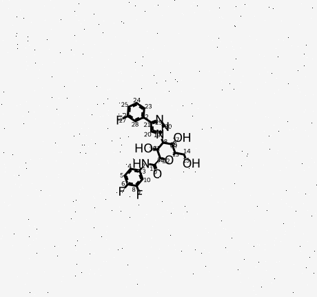 O=C(Nc1ccc(F)c(F)c1)[C@@H]1OC(CO)[C@H](O)C(n2cc(-c3cccc(F)c3)nn2)C1O